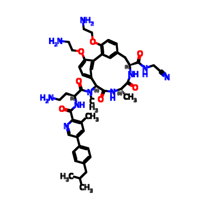 Cc1cc(-c2ccc(CC(C)C)cc2)cnc1C(=O)N[C@@H](CCN)C(=O)N(C)[C@@H]1C(=O)N[C@@H](C)C(=O)N[C@H](C(=O)NCC#N)Cc2ccc(OCCN)c(c2)-c2cc1ccc2OCCN